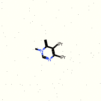 C=C1C(C(C)C)=C(C(C)C)N=CN1C